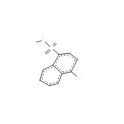 CC(C)c1ccc(S(=O)(=O)NC(C)(C)C)c2ccccc12